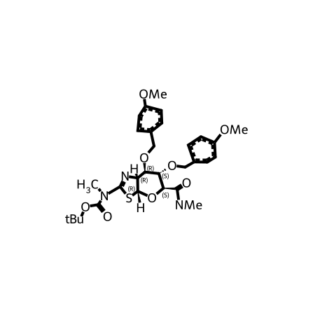 CNC(=O)[C@H]1O[C@@H]2SC(N(C)C(=O)OC(C)(C)C)=N[C@@H]2[C@@H](OCc2ccc(OC)cc2)[C@@H]1OCc1ccc(OC)cc1